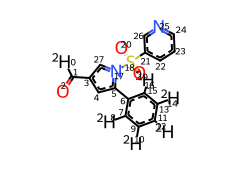 [2H]C(=O)c1cc(-c2c([2H])c([2H])c([2H])c([2H])c2[2H])n(S(=O)(=O)c2cccnc2)c1